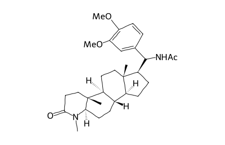 COc1ccc(C(NC(C)=O)[C@H]2CC[C@H]3[C@@H]4CC[C@H]5N(C)C(=O)CC[C@]5(C)[C@H]4CC[C@]23C)cc1OC